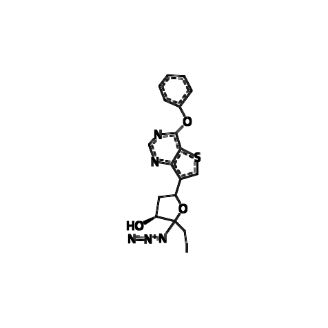 [N-]=[N+]=NC1(CI)OC(c2csc3c(Oc4ccccc4)ncnc23)C[C@@H]1O